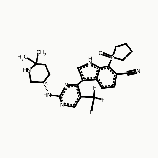 CC1(C)CC[C@H](Nc2ncc(C(F)(F)F)c(-c3c[nH]c4c(P5(=O)CCCC5)c(C#N)ccc34)n2)CN1